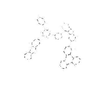 C1=c2oc3ccc(-c4ccc5c6ccccc6c6ccccc6c5c4)cc3c2=C(c2cccc(-c3nc(-c4ccccc4)nc(-c4ccc5c(c4)oc4ccccc45)n3)c2)CC1